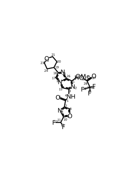 COc1nc(NC(=O)c2coc(C(F)F)n2)cn2cc(C3CCOCC3)nc12.O=C(O)C(F)(F)F